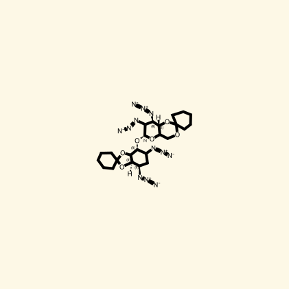 [N-]=[N+]=NC1C[C@@H](N=[N+]=[N-])[C@H]2OC3(CCCCC3)OC2[C@@H]1O[C@H]1OC2COC3(CCCCC3)O[C@H]2[C@H](N=[N+]=[N-])C1N=[N+]=[N-]